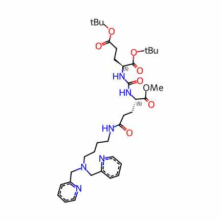 COC(=O)[C@H](CCC(=O)NCCCCN(Cc1ccccn1)Cc1ccccn1)NC(=O)N[C@@H](CCC(=O)OC(C)(C)C)C(=O)OC(C)(C)C